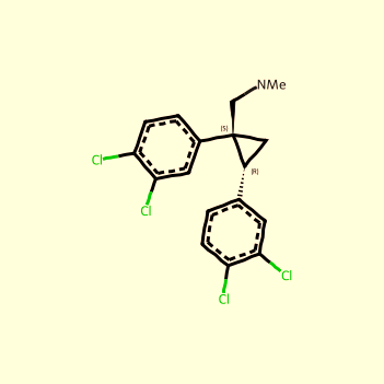 CNC[C@@]1(c2ccc(Cl)c(Cl)c2)C[C@@H]1c1ccc(Cl)c(Cl)c1